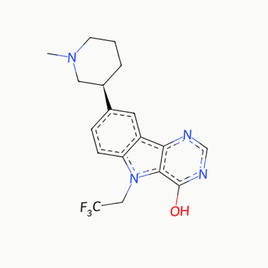 CN1CCC[C@@H](c2ccc3c(c2)c2ncnc(O)c2n3CC(F)(F)F)C1